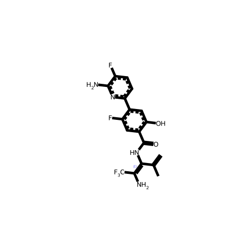 C=C(C)/C(NC(=O)c1cc(F)c(-c2ccc(F)c(N)n2)cc1O)=C(\N)C(F)(F)F